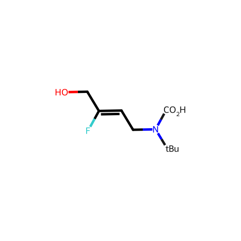 CC(C)(C)N(CC=C(F)CO)C(=O)O